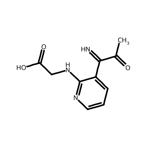 CC(=O)C(=N)c1cccnc1NCC(=O)O